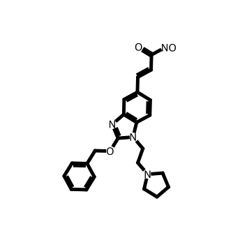 O=NC(=O)/C=C/c1ccc2c(c1)nc(OCc1ccccc1)n2CCN1CCCC1